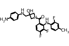 Cc1ccc(Nc2c(C(=O)N3CC(O)(CNc4ccc(N)cc4)C3)ccc(F)c2F)c(F)c1